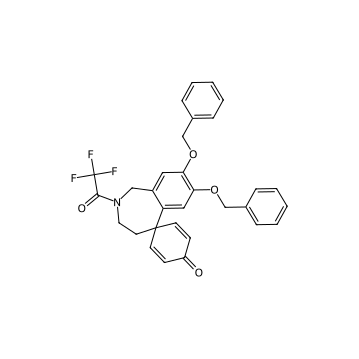 O=C1C=CC2(C=C1)CCN(C(=O)C(F)(F)F)Cc1cc(OCc3ccccc3)c(OCc3ccccc3)cc12